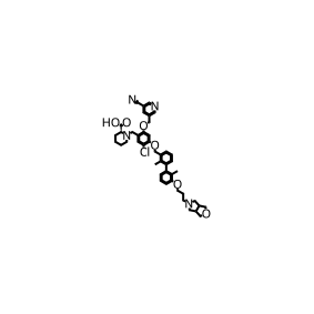 Cc1c(COc2cc(OCc3cncc(C#N)c3)c(CN3CCCC[C@H]3C(=O)O)cc2Cl)cccc1-c1cccc(OCCCN2CC3COCC3C2)c1C